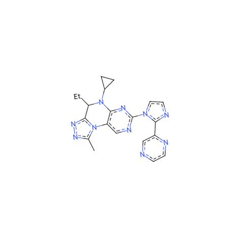 CCC1c2nnc(C)n2-c2cnc(-n3ccnc3-c3cnccn3)nc2N1C1CC1